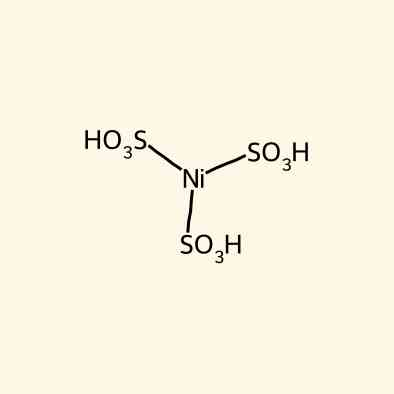 O=[S](=O)(O)[Ni]([S](=O)(=O)O)[S](=O)(=O)O